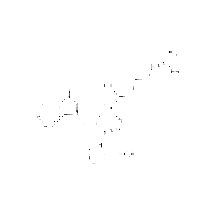 NC(N)=NCCC[C@H](N)C(=O)N[C@@H](Cc1c[nH]c2ccccc12)C(=O)N1CCC[C@H]1C(=O)O